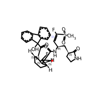 CS(=O)(=O)/C(F)=C\[C@@H](C[C@@H]1CCNC1=O)NC(=O)[C@@H]1[C@@H]2CC[C@@H](CC2(F)F)N1C(=O)C1(O)c2ccccc2-c2ccccc21